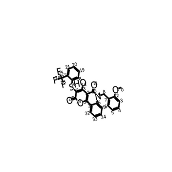 COc1ccccc1Cn1c(=O)c2c(O)c(Sc3ccccc3C(F)(F)F)c(=O)oc2c2ccccc21